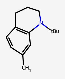 Cc1ccc2c(c1)N(C(C)(C)C)CCC2